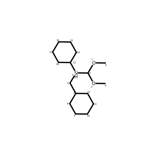 COC(OC)[SiH](CC1CCCCC1)C1CCCCC1